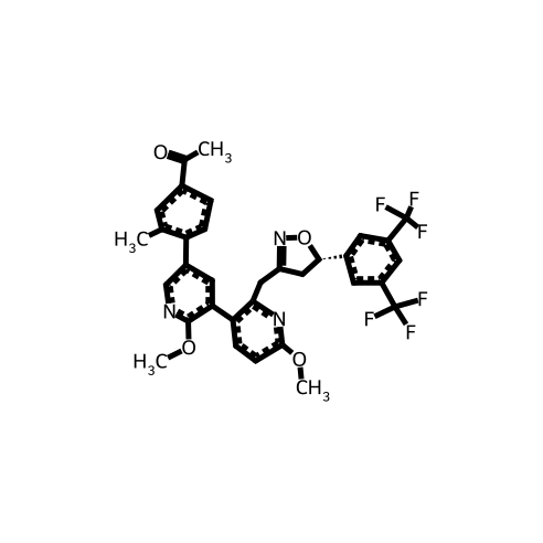 COc1ccc(-c2cc(-c3ccc(C(C)=O)cc3C)cnc2OC)c(CC2=NO[C@H](c3cc(C(F)(F)F)cc(C(F)(F)F)c3)C2)n1